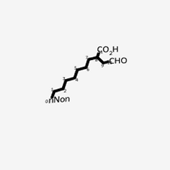 CCCCCCCCCCCCCCCCC(CC=O)C(=O)O